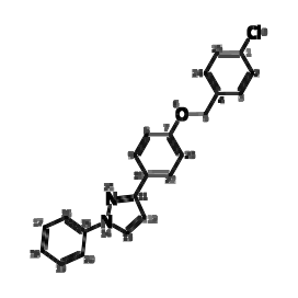 Clc1ccc(COc2ccc(-c3[c]cn(-c4ccccc4)n3)cc2)cc1